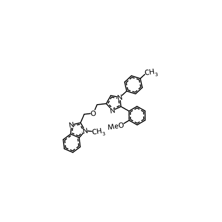 COc1ccccc1-c1nc(COCc2nc3ccccc3n2C)cn1-c1ccc(C)cc1